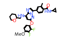 COc1ccc(Oc2cc(NCC3CCCCO3)c3ncc(-c4ccc(C(=O)NC5CC5)c(C)c4)n3n2)c(F)c1F